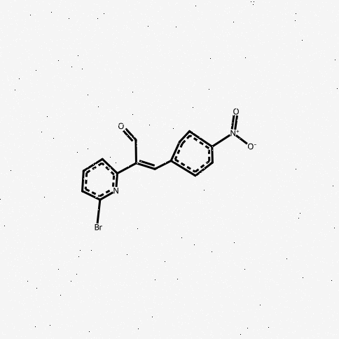 O=CC(=Cc1ccc([N+](=O)[O-])cc1)c1cccc(Br)n1